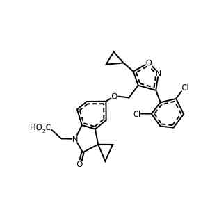 O=C(O)CN1C(=O)C2(CC2)c2cc(OCc3c(-c4c(Cl)cccc4Cl)noc3C3CC3)ccc21